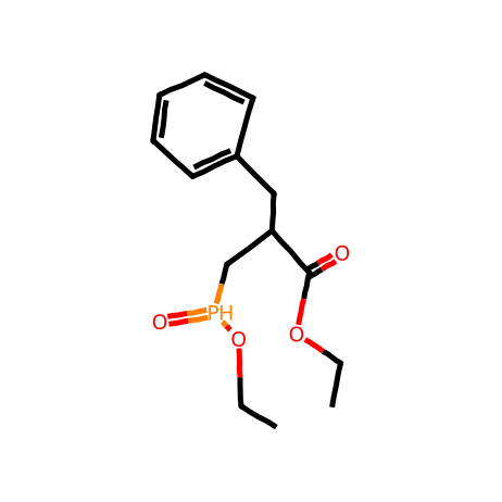 CCOC(=O)C(Cc1ccccc1)C[PH](=O)OCC